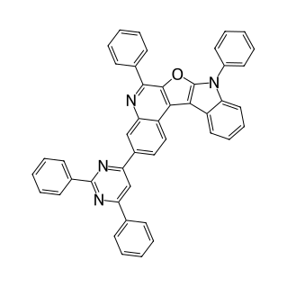 c1ccc(-c2cc(-c3ccc4c(c3)nc(-c3ccccc3)c3oc5c(c6ccccc6n5-c5ccccc5)c34)nc(-c3ccccc3)n2)cc1